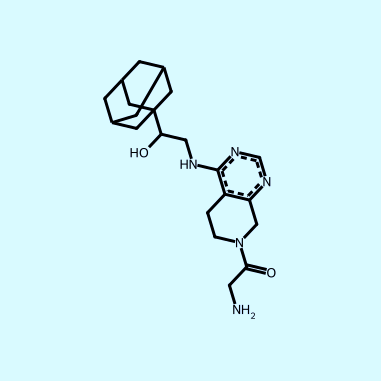 NCC(=O)N1CCc2c(ncnc2NCC(O)C23CC4CC(CC(C4)C2)C3)C1